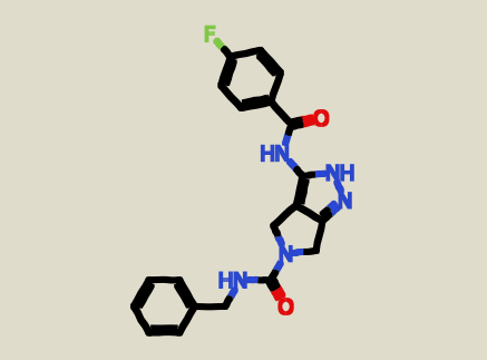 O=C(Nc1[nH]nc2c1CN(C(=O)NCc1ccccc1)C2)c1ccc(F)cc1